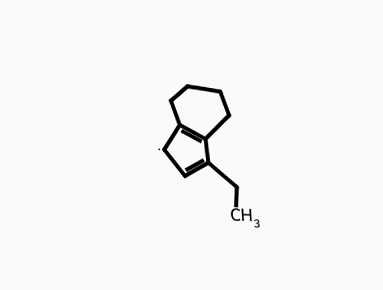 CCC1=C[CH]C2=C1CCCC2